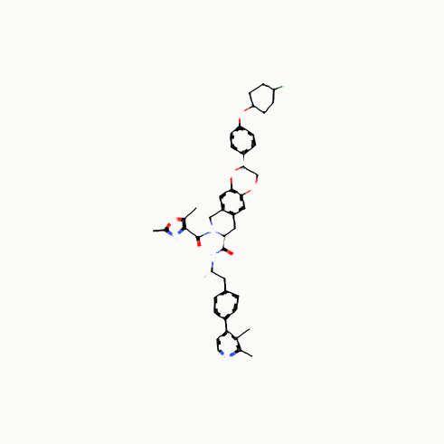 Cc1nc(C(=O)N2Cc3cc4c(cc3C[C@H]2C(=O)N[C@@H](Cc2ccc(-c3ccnc(C)c3C)cc2)C(=O)O)OC[C@H](c2ccc(OC3CCC(Cl)CC3)cc2)O4)c(C)o1